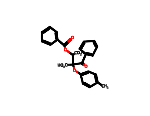 Cc1ccc(OC(C(=O)O)(C(=O)c2ccccc2)C(OC(=O)c2ccccc2)C(=O)O)cc1